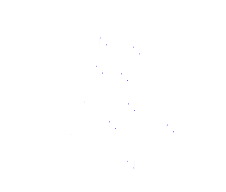 [C-]#[N+]c1nc(C(=O)c2nc(C#N)c(C#N)n2-c2ccccc2)n(-c2ccccc2)c1[N+]#[C-]